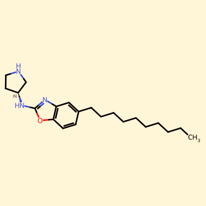 CCCCCCCCCCc1ccc2oc(N[C@H]3CCNC3)nc2c1